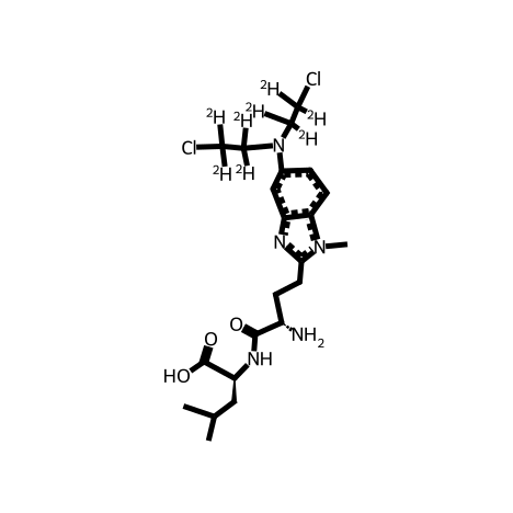 [2H]C([2H])(Cl)C([2H])([2H])N(c1ccc2c(c1)nc(CC[C@H](N)C(=O)N[C@@H](CC(C)C)C(=O)O)n2C)C([2H])([2H])C([2H])([2H])Cl